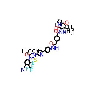 CC(C)(C)C(NC(=O)c1ccc(CC(=O)Nc2ccc(-c3ccc(N4C(=S)N(c5ccc(C#N)c(C(F)(F)F)c5F)C(=O)C4(C)C)cn3)cc2)cc1)C(=O)N1CCC[C@H]1C=O